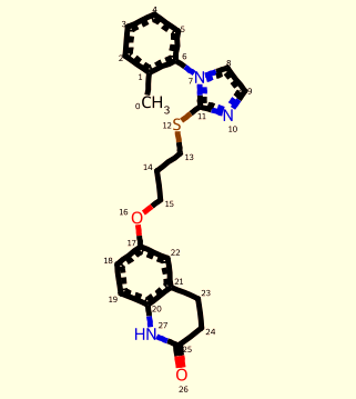 Cc1ccccc1-n1ccnc1SCCCOc1ccc2c(c1)CCC(=O)N2